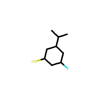 CC(C)C1CC(F)CC(S)C1